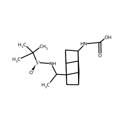 CC(N[S@@+]([O-])C(C)(C)C)C12C3C4C1C1C2C3C41NC(=O)O